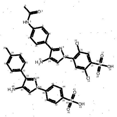 CC(=O)Nc1ccc(-c2nn(-c3cc(Cl)c(S(=O)(=O)O)cc3Cl)cc2N)cc1.Cc1ccc(-c2nn(-c3ccc(S(=O)(=O)O)cc3)cc2N)cc1